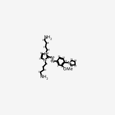 COc1cc(/N=N/c2n(CCCCN)cc[n+]2CCCCN)ccc1N1CCCC1